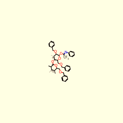 CC1[C@@H](O[C@H]2C(COCc3ccccc3)OC(O/C(=N/c3ccccc3)C(F)(F)F)C(OCc3ccccc3)[C@H]2C)OC(COCc2ccccc2)[C@@H](C)[C@@H]1C